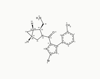 Cc1cccc(-c2sc(Br)nc2C(=O)N2C[C@@H]3C[C@@H]3[C@H]2CN)c1